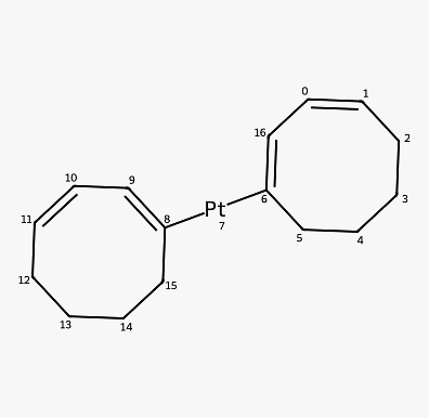 C1=CCCCC[C]([Pt][C]2=CC=CCCCC2)=C1